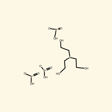 O=[N+]([O-])O.O=[N+]([O-])O.O=[N+]([O-])O.OCCN(CCO)CCO